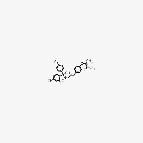 C[C@H](Oc1ccc(CCCN(C)C(C)(c2ccc(Cl)cc2)c2ccc(Cl)cc2)cc1)C(=O)C(F)(F)F